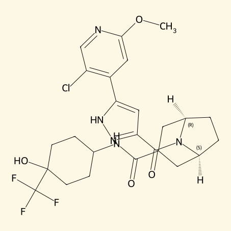 COc1cc(-c2cc(C(=O)N3[C@@H]4CC[C@H]3CC(C(=O)NC3CCC(O)(C(F)(F)F)CC3)C4)n[nH]2)c(Cl)cn1